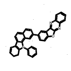 C1=Cc2c(n(-c3ccccc3)c3c2ccc2ccc(-c4ccc5oc6nc7ccccc7nc6c5c4)cc23)CC1